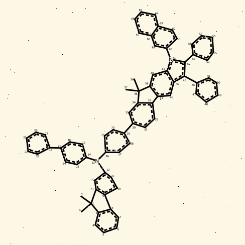 CC1(C)c2ccccc2-c2ccc(N(c3ccc(-c4ccccc4)cc3)c3ccc(-c4ccc5c(c4)C(C)(C)c4cc6c(cc4-5)c(-c4ccccc4)c(-c4ccccc4)n6-c4ccc5ccccc5c4)cc3)cc21